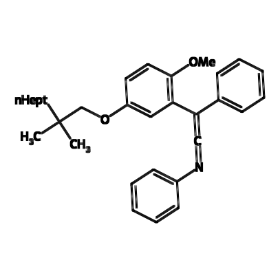 CCCCCCCC(C)(C)COc1ccc(OC)c(C(=C=Nc2ccccc2)c2ccccc2)c1